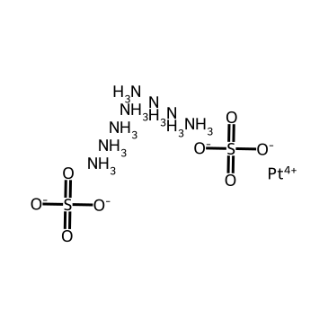 N.N.N.N.N.N.N.N.O=S(=O)([O-])[O-].O=S(=O)([O-])[O-].[Pt+4]